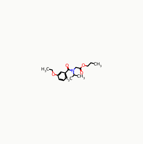 CCCOC(=O)CN(C(=O)c1cccc(OCC)c1)C(C)C